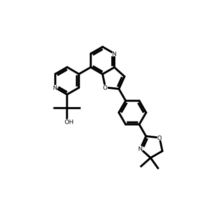 CC1(C)COC(c2ccc(-c3cc4nccc(-c5ccnc(C(C)(C)O)c5)c4o3)cc2)=N1